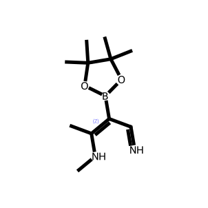 CN/C(C)=C(\C=N)B1OC(C)(C)C(C)(C)O1